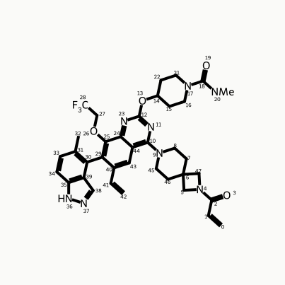 C=CC(=O)N1CC2(CCN(c3nc(OC4CCN(C(=O)NC)CC4)nc4c(OCC(F)(F)F)c(-c5c(C)ccc6[nH]ncc56)c(C=C)cc34)CC2)C1